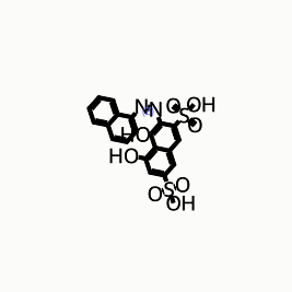 O=S(=O)(O)c1cc(O)c2c(O)c(/N=N\c3cccc4ccccc34)c(S(=O)(=O)O)cc2c1